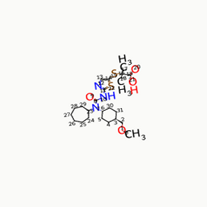 COC[C@H]1CC[C@H](N(C(=O)Nc2ncc(SC(C)(C)C(=O)O)s2)C2CCCCCC2)CC1